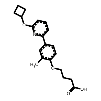 Cc1cc(-c2cccc(OC3CCC3)n2)ccc1OCCCC(=O)O